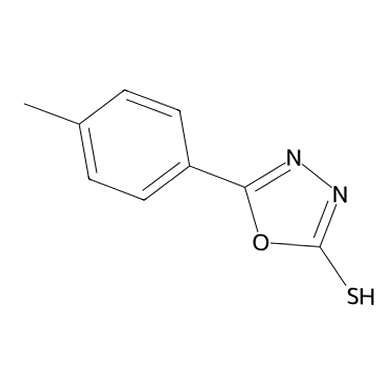 Cc1ccc(-c2nnc(S)o2)cc1